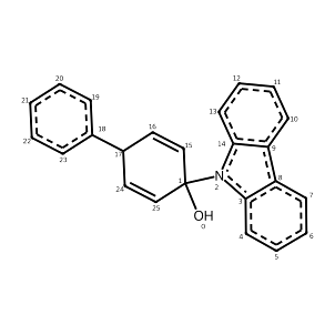 OC1(n2c3ccccc3c3ccccc32)C=CC(c2ccccc2)C=C1